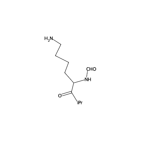 CC(C)C(=O)C(CCCCN)NC=O